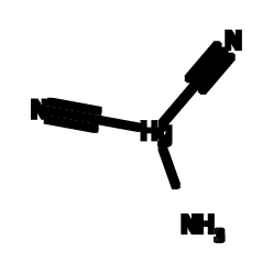 N.[CH3][Hg]([C]#N)[C]#N